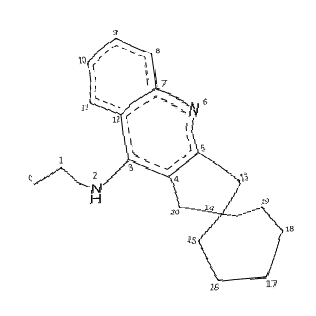 CCNc1c2c(nc3ccccc13)CC1(CCCCC1)C2